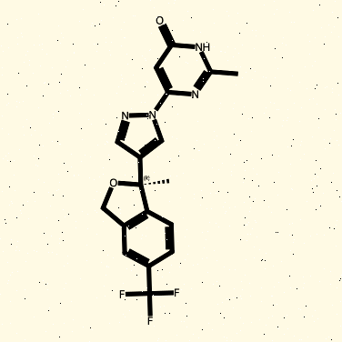 Cc1nc(-n2cc([C@]3(C)OCc4cc(C(F)(F)F)ccc43)cn2)cc(=O)[nH]1